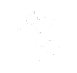 Cn1ncc(Br)c1-c1ccc2c(Cl)cccc2c1C#N